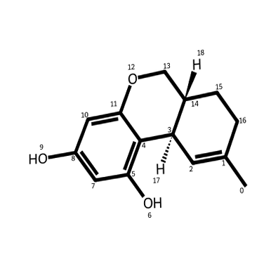 CC1=C[C@H]2c3c(O)cc(O)cc3OC[C@@H]2CC1